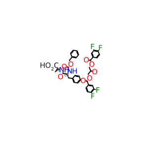 C[C@H](NC(=O)[C@H](Cc1ccccc1)NC(=O)OCc1ccccc1)C(=O)O.O=C(COC(=O)c1ccc(F)c(F)c1)COC(=O)c1ccc(F)c(F)c1